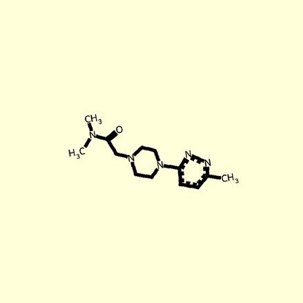 Cc1ccc(N2CCN(CC(=O)N(C)C)CC2)nn1